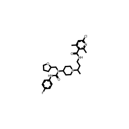 Cc1cc(Cl)nc(C)c1C(=O)NCCC(C)N1CCC(N(CC2CCCO2)C(=O)Nc2ccc(F)cc2)CC1